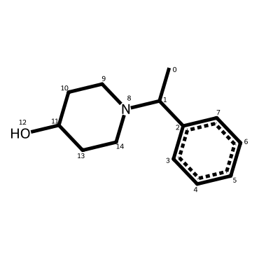 CC(c1ccccc1)N1CCC(O)CC1